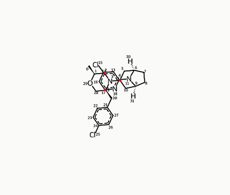 C[C@H]1CN(C2C[C@H]3CC[C@@H](C2)N3c2cc(Cl)ccn2)[C@@H](Cc2ccc(Cl)cc2)CO1